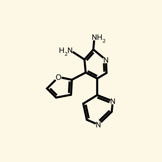 Nc1ncc(-c2ccncn2)c(-c2ccco2)c1N